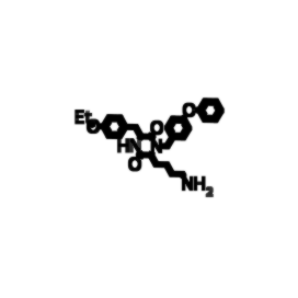 CCOc1ccc(CC2NC(=O)C(CCCCN)N(Cc3ccc(Oc4ccccc4)cc3)C2=O)cc1